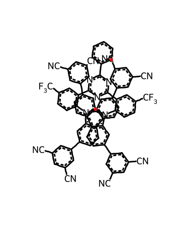 N#Cc1cc(C#N)cc(-c2ccc3c4ccc(-c5cc(C#N)cc(C#N)c5)cc4n(-c4ccc(C(F)(F)F)cc4-c4nc(-c5ccccc5)nc(-c5cc(C(F)(F)F)ccc5-n5c6cc(-c7cc(C#N)cc(C#N)c7)ccc6c6ccc(-c7cc(C#N)cc(C#N)c7)cc65)n4)c3c2)c1